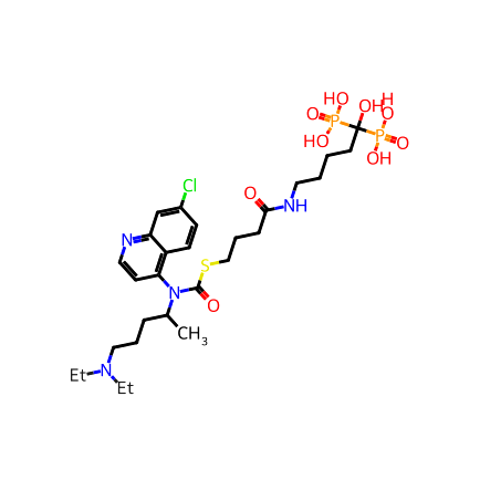 CCN(CC)CCCC(C)N(C(=O)SCCCC(=O)NCCCCC(O)(P(=O)(O)O)P(=O)(O)O)c1ccnc2cc(Cl)ccc12